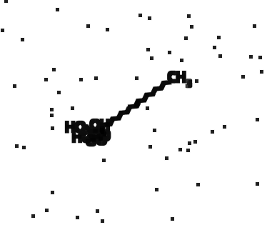 CCCCCCCCC=CCCCCCCCC(=O)C(O)(C(O)CO)P(=O)=O